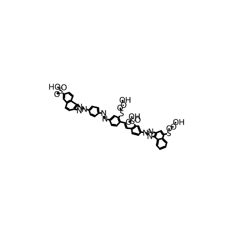 O=S(=O)(O)c1ccc2c(ccc3c2n2n(-c4ccc(N=Nc5ccc(C=Cc6ccc(-n7n8c9cc(SOOO)c%10ccccc%10c9n78)cc6S(=O)(=O)O)c(SOOO)c5)cc4)n32)c1